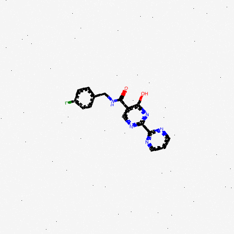 O=C(NCc1ccc(F)cc1)c1cnc(-c2ncccn2)nc1O